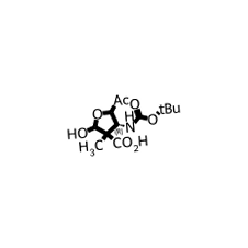 CC(=O)C1OC(O)C(C)(C(=O)O)[C@H]1NC(=O)OC(C)(C)C